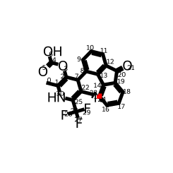 CC1=C(OC(=O)O)C(c2cccc3c2-c2ccccc2C3=O)C(C#N)=C(C(F)(F)F)N1